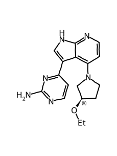 CCO[C@@H]1CCN(c2ccnc3[nH]cc(-c4ccnc(N)n4)c23)C1